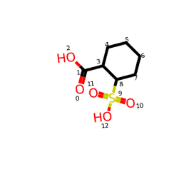 O=C(O)C1CC[CH]CC1S(=O)(=O)O